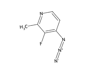 Cc1nccc(N=[N+]=[N-])c1F